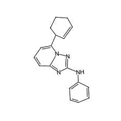 C1=CC(c2cccc3nc(Nc4ccccc4)nn23)CCC1